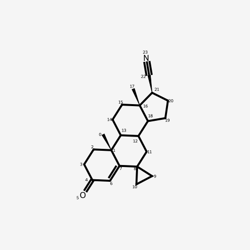 C[C@]12CCC(=O)C=C1C1(CC1)CC1C2CC[C@@]2(C)C1CC[C@@H]2C#N